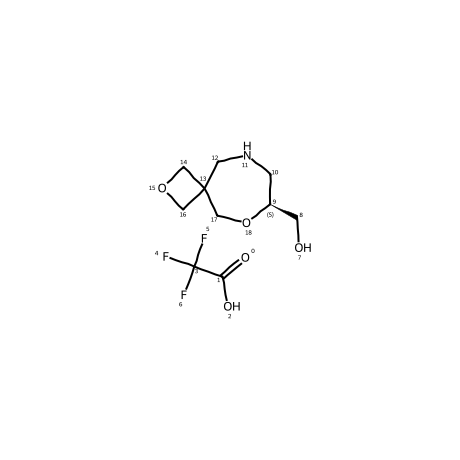 O=C(O)C(F)(F)F.OC[C@@H]1CNCC2(COC2)CO1